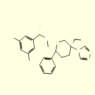 C[C@H](OC[C@@]1(c2ccccc2)CC[C@@](CO)(n2cnnc2)CN1)c1cc(C(F)(F)F)cc(C(F)(F)F)c1